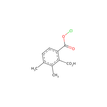 Cc1ccc(C(=O)OCl)c(C(=O)O)c1C